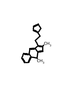 CC1=C(CCC2=CC=CC2)C2=Cc3ccccc3C(C)C2=C1